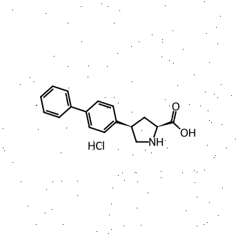 Cl.O=C(O)[C@@H]1C[C@H](c2ccc(-c3ccccc3)cc2)CN1